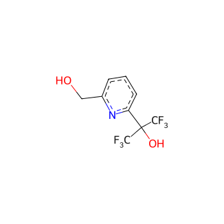 OCc1cccc(C(O)(C(F)(F)F)C(F)(F)F)n1